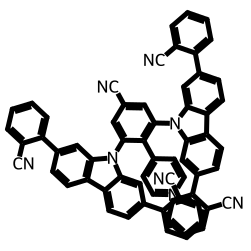 N#Cc1cc(-n2c3cc(-c4ccccc4C#N)ccc3c3ccc(-c4ccccc4C#N)cc32)c(-c2ccncc2)c(-n2c3cc(-c4ccccc4C#N)ccc3c3ccc(-c4ccccc4C#N)cc32)c1